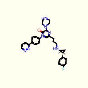 O=c1c(N2CCNCC2)nc(CCCN[C@@H]2C[C@H]2c2ccc(F)cc2)cn1-c1ccc(-c2cccnn2)cc1